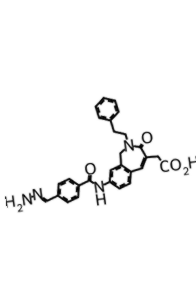 NN=Cc1ccc(C(=O)Nc2ccc3c(c2)CN(CCc2ccccc2)C(=O)C(CC(=O)O)=C3)cc1